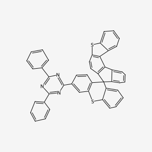 c1ccc(-c2nc(-c3ccccc3)nc(-c3ccc4c(c3)Sc3ccccc3C43c4ccccc4-c4c3ccc3sc5ccccc5c43)n2)cc1